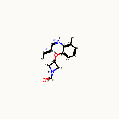 C/C=C/C=N\c1c(C)cccc1OC1CN(C=O)C1